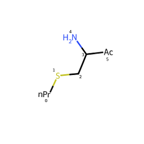 CCCSCC(N)C(C)=O